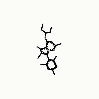 CCC(CC)Oc1cc(C)nn2c(-c3c(C)cc(C)cc3C)c(C)c(C)c12